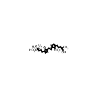 CC(C)(CO)CCCC1=CC=C(CCC2=CC=C(CCCC(C)(C)C(=O)O)C2=O)C1=O